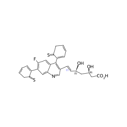 O=C(O)C[C@H](O)C[C@H](O)/C=C/c1cnc2cc(C3=CC=CCC3=S)c(F)cc2c1C1=CC=CCC1=S